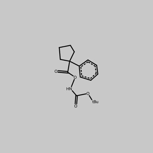 CC(C)(C)OC(=O)NOC(=O)C1(c2ccccc2)CCCC1